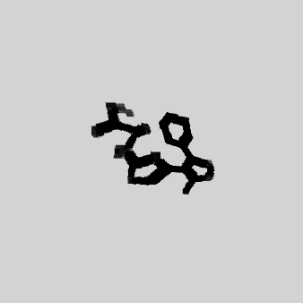 Cc1onc(-c2ccccc2)c1-c1csc(NC(=O)C(N)=O)n1